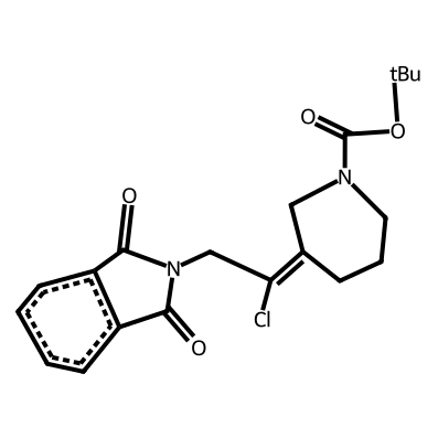 CC(C)(C)OC(=O)N1CCC/C(=C(\Cl)CN2C(=O)c3ccccc3C2=O)C1